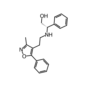 Cc1noc(-c2ccccc2)c1CCN[C@H](CO)c1ccccc1